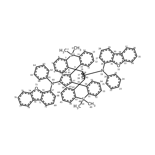 C[Si]1(C)c2ccccc2C2(c3ccccc31)c1cc(N(c3ccccc3)c3cccc4c3oc3ccccc34)sc1C1(c3ccccc3[Si](C)(C)c3ccccc31)c1cc(N(c3ccccc3)c3cccc4c3oc3ccccc34)sc12